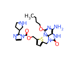 CCCCOc1nc(N)c2[nH]c(=O)n(Cc3ccc(COC(=O)n4ccnc4C4CCNC4)s3)c2n1